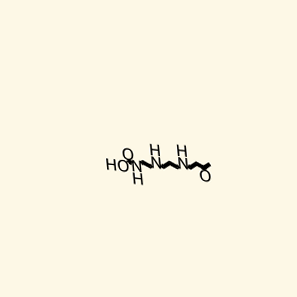 CC(=O)CCNCCCNCCNC(=O)O